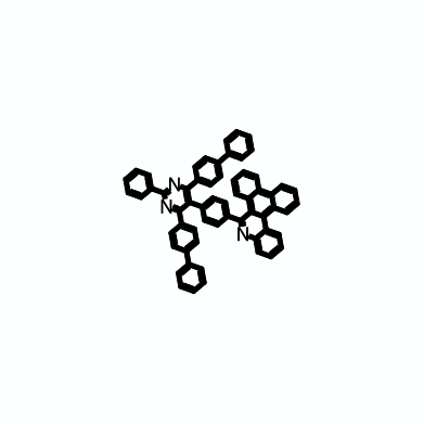 c1ccc(-c2ccc(-c3nc(-c4ccccc4)nc(-c4ccc(-c5ccccc5)cc4)c3-c3ccc(-c4nc5ccccc5c5c6ccccc6c6ccccc6c45)cc3)cc2)cc1